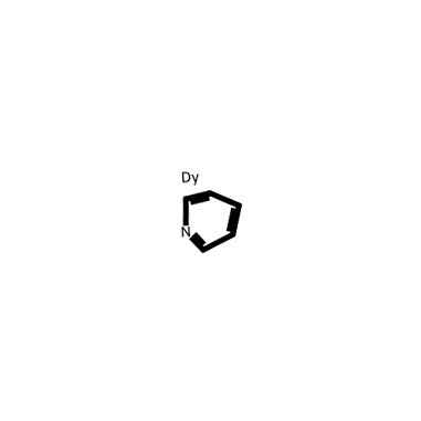 [Dy].c1ccncc1